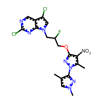 Cc1cn(C)nc1-n1nc(OCC(F)Cn2cc(Cl)c3cnc(Cl)nc32)c([N+](=O)[O-])c1C